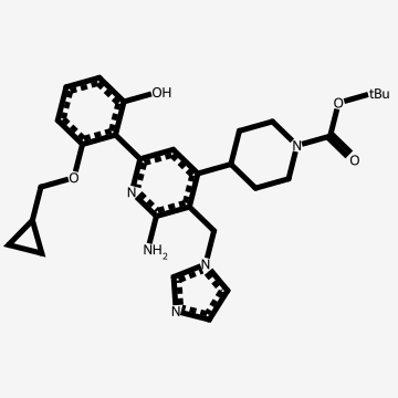 CC(C)(C)OC(=O)N1CCC(c2cc(-c3c(O)cccc3OCC3CC3)nc(N)c2Cn2ccnc2)CC1